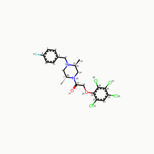 C[C@@H]1CN(Cc2ccc(F)cc2)[C@@H](C)CN1C(=O)COc1c(Cl)cc(Cl)c(Cl)c1Cl